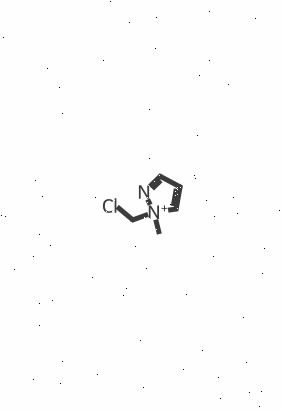 C[N+]1(CCl)C=CC=N1